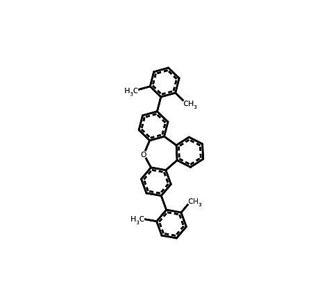 Cc1cccc(C)c1-c1ccc2c(c1)-c1ccccc1-c1cc(-c3c(C)cccc3C)ccc1O2